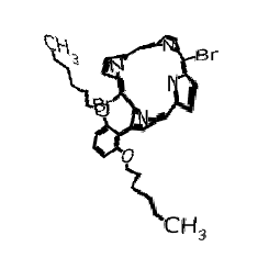 CCCCCCOc1cccc(OCCCCCC)c1C1=CC2=CC3=NC(=C(Br)C4=NC(=CC5=NC(=C(Br)C1=N2)C=C5)C=C4)C=C3